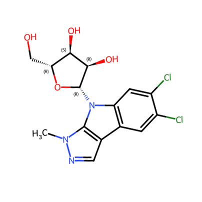 Cn1ncc2c3cc(Cl)c(Cl)cc3n([C@@H]3O[C@H](CO)[C@@H](O)[C@H]3O)c21